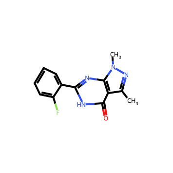 Cc1nn(C)c2nc(-c3ccccc3F)[nH]c(=O)c12